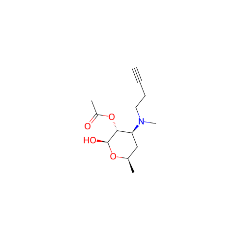 C#CCCN(C)[C@H]1C[C@@H](C)O[C@@H](O)[C@@H]1OC(C)=O